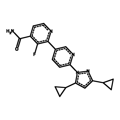 NC(=O)c1ccnc(-c2ccc(-n3nc(C4CC4)cc3C3CC3)nc2)c1F